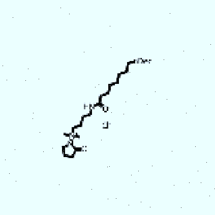 CCCCCCCCCCCCCCCCCC(=O)NCCCC[N+](C)(C)N1CCCC1=O.[Cl-]